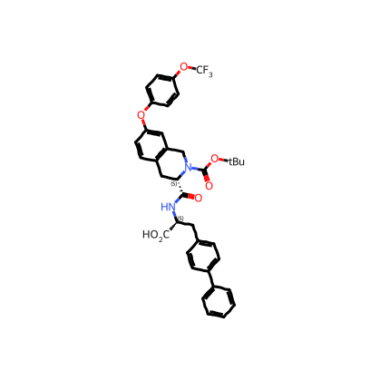 CC(C)(C)OC(=O)N1Cc2cc(Oc3ccc(OC(F)(F)F)cc3)ccc2C[C@H]1C(=O)N[C@@H](Cc1ccc(-c2ccccc2)cc1)C(=O)O